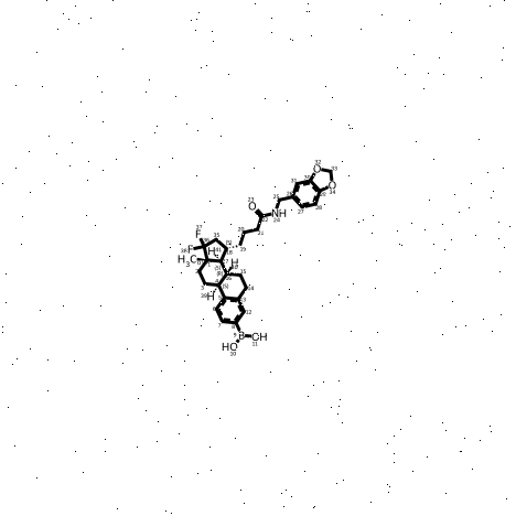 C[C@]12CC[C@@H]3c4ccc(B(O)O)cc4CC[C@H]3[C@@H]1[C@@H](CCCC(=O)NCc1ccc3c(c1)OCO3)CC2(F)F